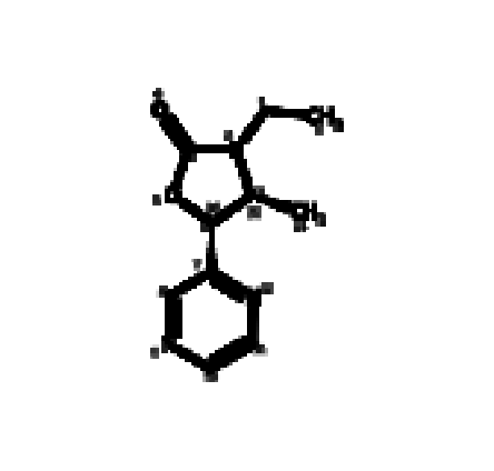 CCN1C(=O)O[C@@H](c2cnccn2)[C@@H]1C